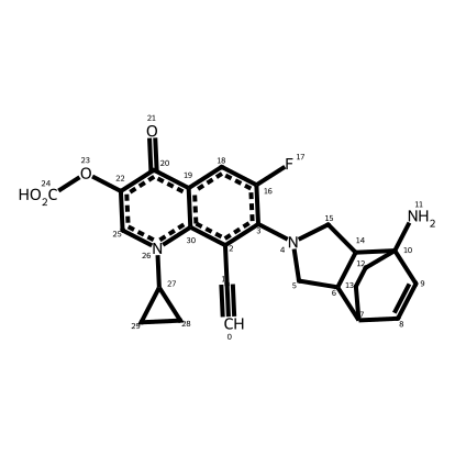 C#Cc1c(N2CC3C4C=CC(N)(CC4)C3C2)c(F)cc2c(=O)c(OC(=O)O)cn(C3CC3)c12